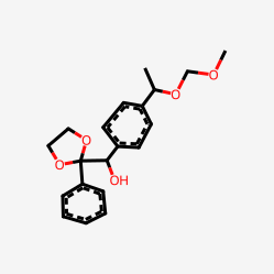 COCOC(C)c1ccc(C(O)C2(c3ccccc3)OCCO2)cc1